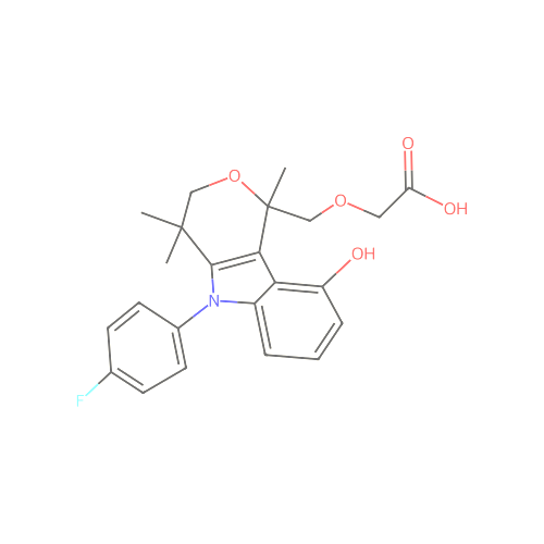 CC1(C)COC(C)(COCC(=O)O)c2c1n(-c1ccc(F)cc1)c1cccc(O)c21